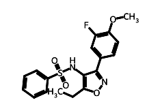 CCc1onc(-c2ccc(OC)c(F)c2)c1NS(=O)(=O)c1ccccc1